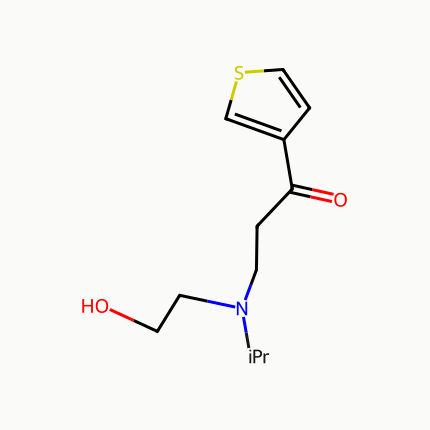 CC(C)N(CCO)CCC(=O)c1ccsc1